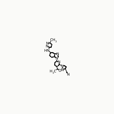 CC(=O)c1ccc(-n2cnc3cc(Nc4ccc(C)nn4)ccc32)nc1-n1ccc(C#N)n1